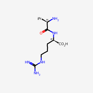 CC(C)[C@@H](N)C(=O)N[C@H](CCCNC(=N)N)C(=O)O